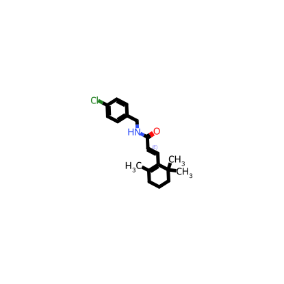 CC1=C(/C=C/C(=O)NCc2ccc(Cl)cc2)C(C)(C)CCC1